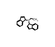 C[CH2][Ti]([CH]1C=Cc2ccccc21)[CH]1C=Cc2ccccc21